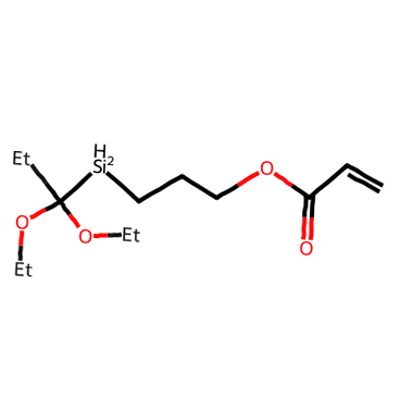 C=CC(=O)OCCC[SiH2]C(CC)(OCC)OCC